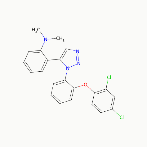 CN(C)c1ccccc1-c1cnnn1-c1ccccc1Oc1ccc(Cl)cc1Cl